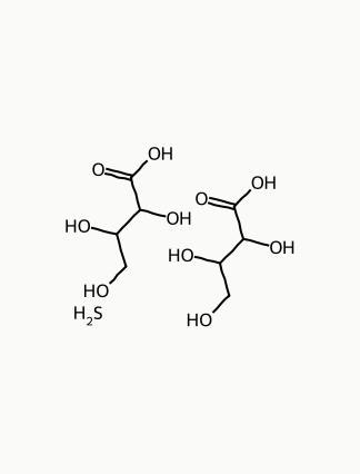 O=C(O)C(O)C(O)CO.O=C(O)C(O)C(O)CO.S